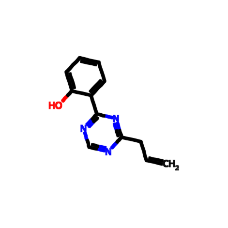 C=CCc1ncnc(-c2ccccc2O)n1